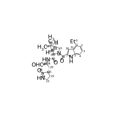 CCc1cccc2[nH]c(C(=O)N3C[C@H]4[C@@H]([C@H]3C(=O)N[C@H](C=O)C[C@@H]3CCNC3=O)C4(C)C)cc12